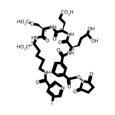 O=C(O)CC[C@@H](NC(=O)[C@@H](CCC(=O)O)NC(=O)[C@@H](CCC(O)O)NC(=O)c1cccc(C(=O)ON2C(=O)CCC2=O)c1)C(=O)N[C@H](CCCCNC(=O)c1cncc(I)c1)C(=O)O